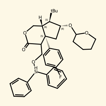 CC(C)(C)[C@@H]1[C@H]2COC(=O)C(CO[SiH](c3ccccc3)c3ccccc3)[C@]2(c2ccc(F)cc2)C[C@H]1OC1CCCCO1